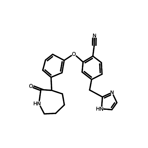 N#Cc1ccc(Cc2ncc[nH]2)cc1Oc1cccc(C2CCCCNC2=O)c1